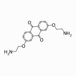 NCCOc1ccc2c(c1)C(=O)c1cc(OCCN)ccc1C2=O